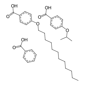 CC(C)Oc1ccc(C(=O)O)cc1.CCCCCCCCCCCCOc1ccc(C(=O)O)cc1.O=C(O)c1ccccc1